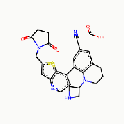 N#Cc1cc2c(c(-c3ccnc4cc(CN5C(=O)CCC5=O)sc34)c1)N(C1CNC1)CCC2.O=CO